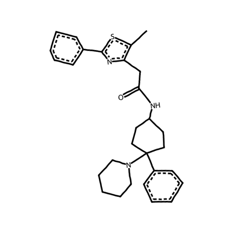 Cc1sc(-c2ccccc2)nc1CC(=O)NC1CCC(c2ccccc2)(N2CCCCC2)CC1